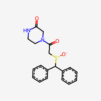 O=C1CN(C(=O)C[S+]([O-])C(c2ccccc2)c2ccccc2)CCN1